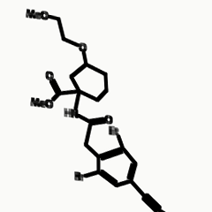 CC#Cc1cc(Br)c(CC(=O)NC2(C(=O)OC)CCCC(OCCOC)C2)c(CC)c1